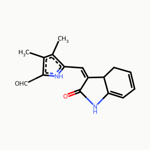 Cc1c(C=O)[nH]c(C=C2C(=O)NC3=CC=CCC32)c1C